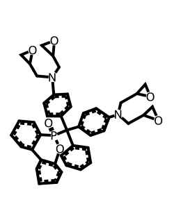 O=P1(C(c2ccccc2)(c2ccc(N(CC3CO3)CC3CO3)cc2)c2ccc(N(CC3CO3)CC3CO3)cc2)Oc2ccccc2-c2ccccc21